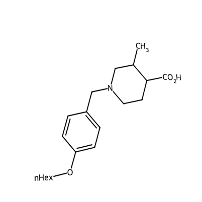 CCCCCCOc1ccc(CN2CCC(C(=O)O)C(C)C2)cc1